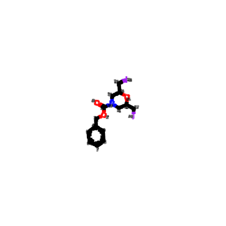 O=C(OCc1ccccc1)N1CC(CI)OC(CI)C1